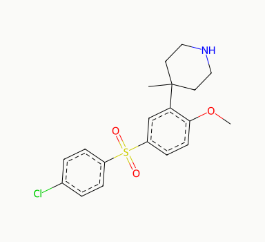 COc1ccc(S(=O)(=O)c2ccc(Cl)cc2)cc1C1(C)CCNCC1